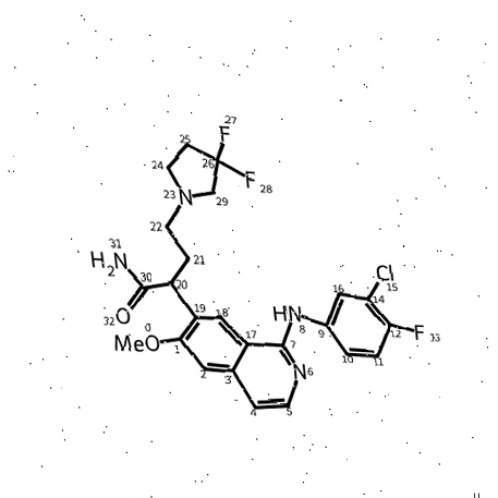 COc1cc2ccnc(Nc3ccc(F)c(Cl)c3)c2cc1C(CCN1CCC(F)(F)C1)C(N)=O